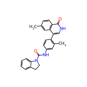 Cc1ccc2c(=O)[nH]cc(-c3ccc(NC(=O)N4CCc5ccccc54)cc3C)c2c1